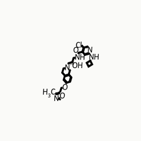 Cc1ncoc1COc1ccc2c(c1)CCN(C[C@@H](O)CNC(=O)c1cc(NC3CCC3)ncc1Cl)C2